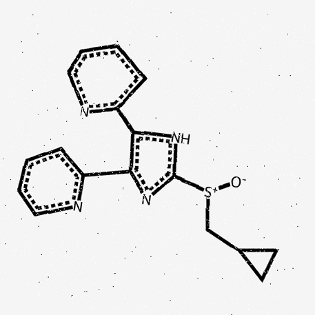 [O-][S+](CC1CC1)c1nc(-c2ccccn2)c(-c2ccccn2)[nH]1